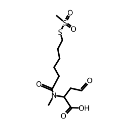 CN(C(=O)CCCCCSS(C)(=O)=O)C(CC=O)C(=O)O